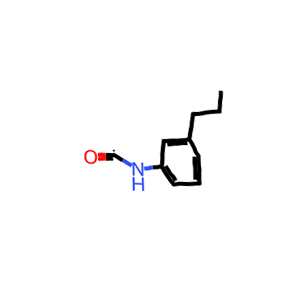 CCCc1cccc(N[C]=O)c1